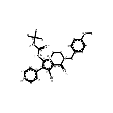 COc1ccc(CN2CCn3c(NC(=O)OC(C)(C)C)c(-c4ccncc4)c(Br)c3C2=O)cc1